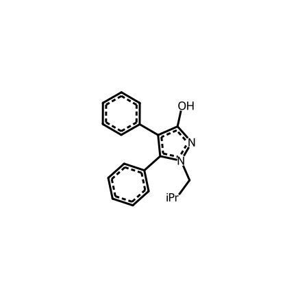 CC(C)Cn1nc(O)c(-c2ccccc2)c1-c1ccccc1